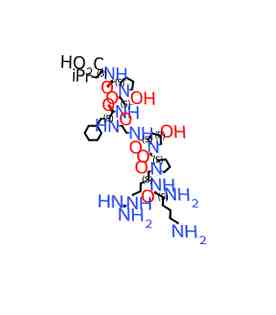 CC(C)C[C@H](NC(=O)[C@@H]1CCCN1C(=O)[C@H](CO)NC(=O)[C@H](CC1CCCCC1)NC(=O)CNC(=O)[C@@H]1C[C@@H](O)CN1C(=O)[C@@H]1CCCN1C(=O)[C@H](CCCNC(=N)N)NC(=O)[C@@H](N)CCCCN)C(=O)O